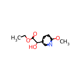 CCOC(=O)[C@H](O)c1ccc(OC)nc1